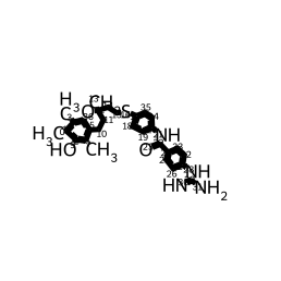 Cc1c(C)c2c(c(C)c1O)CCC(C)(CCSc1ccc(NC(=O)c3ccc(NC(=N)N)cc3)cc1)O2